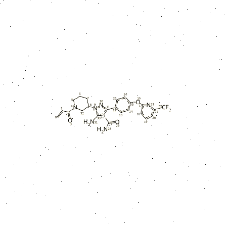 C=CC(=O)N1CCCC(n2nc(-c3ccc(Oc4cccc(C(F)(F)F)n4)cc3)c(C(N)=O)c2N)C1